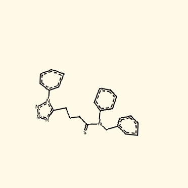 S=C(CCCc1nnnn1-c1ccccc1)N(Cc1ccccc1)c1ccccc1